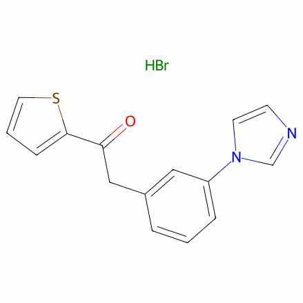 Br.O=C(Cc1cccc(-n2ccnc2)c1)c1cccs1